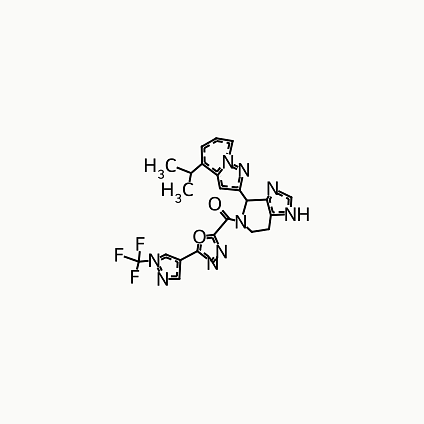 CC(C)c1cccn2nc(C3c4nc[nH]c4CCN3C(=O)c3nnc(-c4cnn(C(F)(F)F)c4)o3)cc12